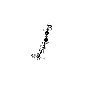 COO[C@H](CCCC(=O)NCC(=O)NCC(=O)Nc1ccc(/N=N/c2ccc(NC(=O)CN3C(=O)C=CC3=O)cc2)cc1)C[C@H](N)C(=O)O